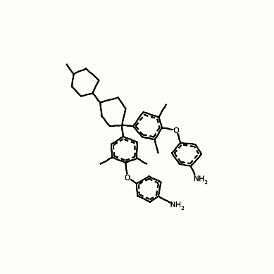 Cc1cc(C2(c3cc(C)c(Oc4ccc(N)cc4)c(C)c3)CCC(C3CCC(C)CC3)CC2)cc(C)c1Oc1ccc(N)cc1